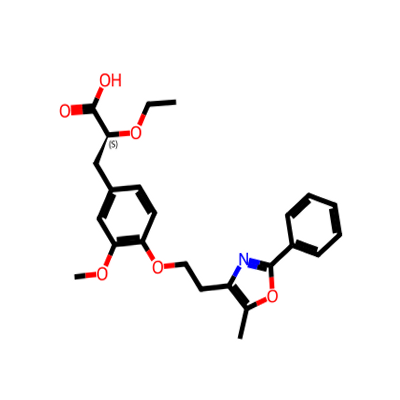 CCO[C@@H](Cc1ccc(OCCc2nc(-c3ccccc3)oc2C)c(OC)c1)C(=O)O